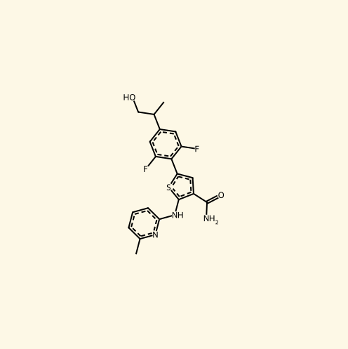 Cc1cccc(Nc2sc(-c3c(F)cc(C(C)CO)cc3F)cc2C(N)=O)n1